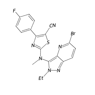 CCn1nc2ccc(Br)nc2c1N(C)c1nc(-c2ccc(F)cc2)c(C#N)s1